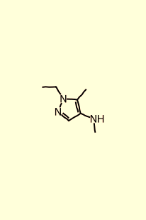 CCn1ncc(NC)c1C